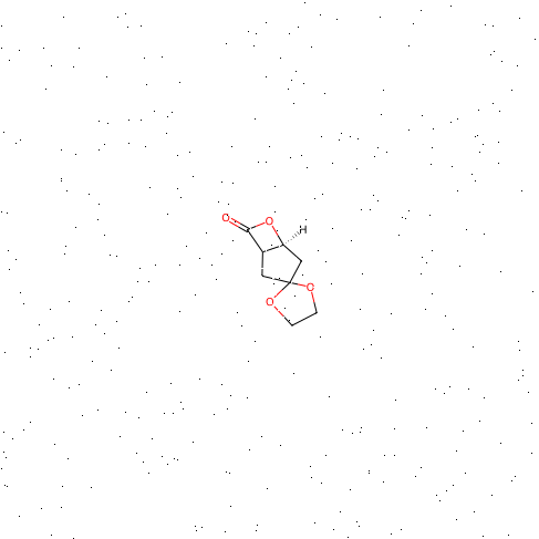 O=C1O[C@H]2CC3(CC12)OCCO3